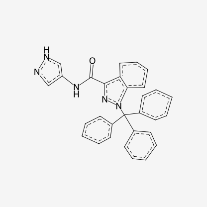 O=C(Nc1cn[nH]c1)c1nn(C(c2ccccc2)(c2ccccc2)c2ccccc2)c2ccccc12